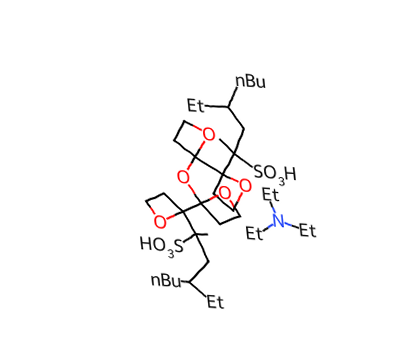 CCCCC(CC)CC(C)(C1(C2(OC3(C4(C(C)(CC(CC)CCCC)S(=O)(=O)O)CCO4)CCO3)CCO2)CCO1)S(=O)(=O)O.CCN(CC)CC